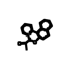 CC(=O)B1Oc2ccc3ccccc3c2-c2cccc[n+]21